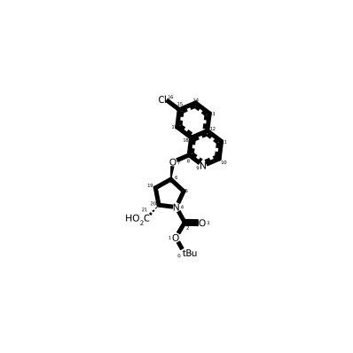 CC(C)(C)OC(=O)N1C[C@H](Oc2nccc3ccc(Cl)cc23)C[C@H]1C(=O)O